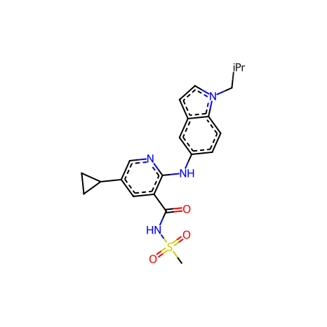 CC(C)Cn1ccc2cc(Nc3ncc(C4CC4)cc3C(=O)NS(C)(=O)=O)ccc21